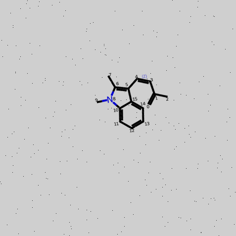 C=C(C)/C=C\c1c(C)n(C)c2ccccc12